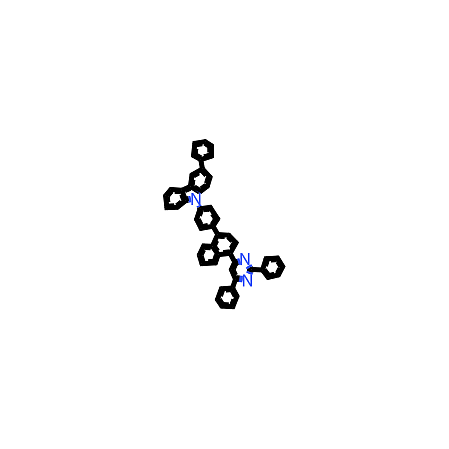 c1ccc(-c2ccc3c(c2)c2ccccc2n3-c2ccc(-c3ccc(-c4cc(-c5ccccc5)nc(-c5ccccc5)n4)c4ccccc34)cc2)cc1